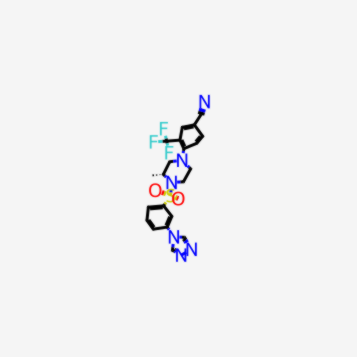 C[C@@H]1CN(c2ccc(C#N)cc2C(F)(F)F)CCN1S(=O)(=O)c1cccc(-n2cnnc2)c1